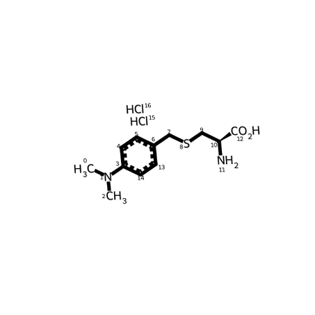 CN(C)c1ccc(CSC[C@H](N)C(=O)O)cc1.Cl.Cl